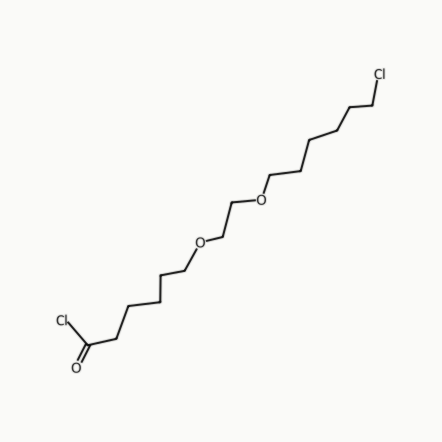 O=C(Cl)CCCCCOCCOCCCCCCCl